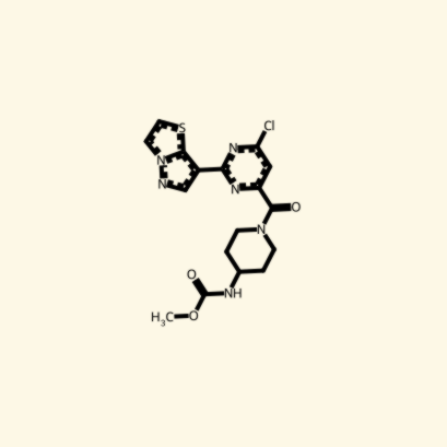 COC(=O)NC1CCN(C(=O)c2cc(Cl)nc(-c3cnn4ccsc34)n2)CC1